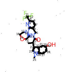 CC(C(=O)NCc1ccc(C(F)(F)F)nc1N1CCOCC1)c1cn(C)c2ccc(O)cc12